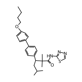 CCCCOc1ccc(-c2ccc(C(CC(C)C)C(C)(C)C(=O)Nc3nncs3)cc2)cc1